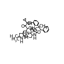 CC(C)CC(NC(=O)OC(c1ccccc1)C(C)(C)c1cccc(Cl)c1)C(=O)NC(CC1CC(C)(C)NC1=O)C(O)C(=O)NC1CC1